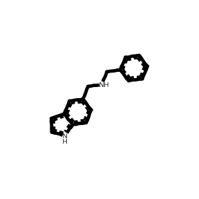 [c]1cccc(CNCc2ccc3[nH]ccc3c2)c1